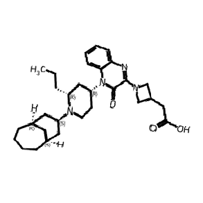 CCC[C@@H]1C[C@H](n2c(=O)c(N3CC(CC(=O)O)C3)nc3ccccc32)CCN1[C@@H]1C[C@@H]2CCCC[C@@H](C2)C1